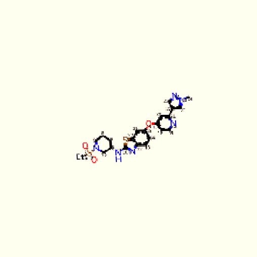 CCS(=O)(=O)N1CCC[C@H](Nc2nc3ccc(Oc4ccnc(-c5cnn(C)c5)c4)cc3s2)C1